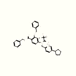 O=C(OCc1ccccc1)c1ccc(N(Cc2ccc(C3CCCC3)cn2)C(=O)C(F)(F)F)cc1OCc1ccccc1